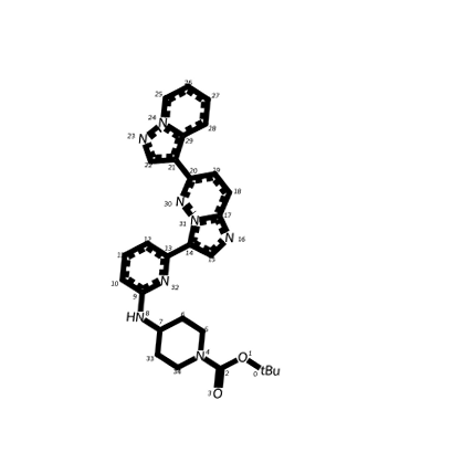 CC(C)(C)OC(=O)N1CCC(Nc2cccc(-c3cnc4ccc(-c5cnn6ccccc56)nn34)n2)CC1